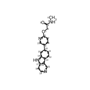 CNC(=O)COc1ccc(-c2ccc3c(c2)[nH]c2ccncc23)cn1